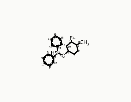 CC1CCC(O[SiH](c2ccccc2)c2ccccc2)CC1F